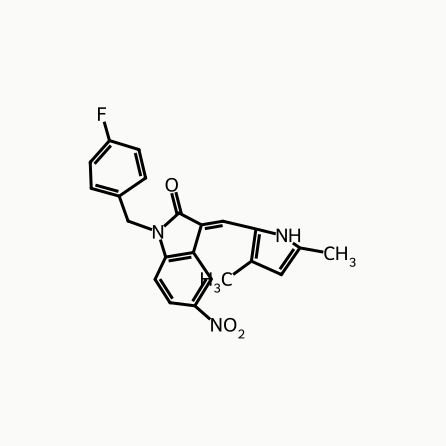 Cc1cc(C)c(C=C2C(=O)N(Cc3ccc(F)cc3)c3ccc([N+](=O)[O-])cc32)[nH]1